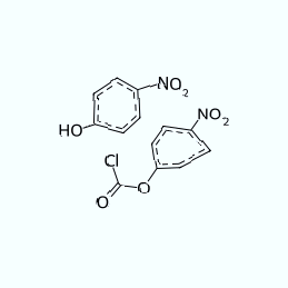 O=C(Cl)Oc1ccc([N+](=O)[O-])cc1.O=[N+]([O-])c1ccc(O)cc1